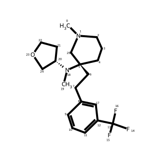 CN1CCC[C@](CCc2cccc(C(F)(F)F)c2)(N(C)[C@H]2CCOC2)C1